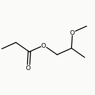 [CH2]CC(=O)OCC(C)OC